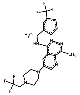 Cc1nnc(N[C@H](C)c2cccc(C(F)(F)F)c2)c2cc(N3CCN(CC(F)(F)F)CC3)cnc12